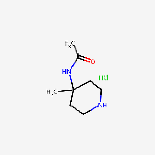 CC1(NC(=O)C(F)(F)F)CCNCC1.Cl